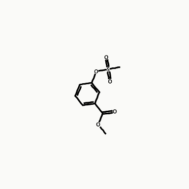 COC(=O)c1cccc(OS(C)(=O)=O)c1